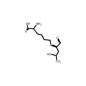 CC(O)CC(C=O)=NCCCCC(N)C(=O)O